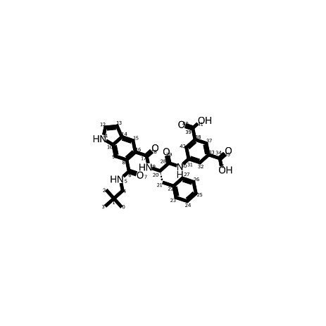 CC(C)(C)CNC(=O)c1cc2[nH]ccc2cc1C(=O)N[C@@H](Cc1ccccc1)C(=O)Nc1cc(C(=O)O)cc(C(=O)O)c1